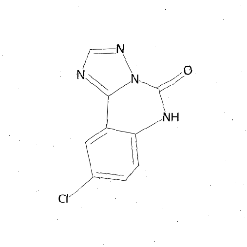 O=c1[nH]c2ccc(Cl)cc2c2ncnn12